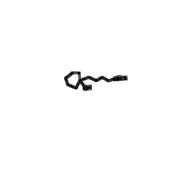 CCCCCCCCCCC1(O)CCCCC1